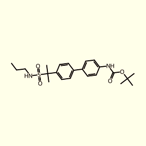 CCCNS(=O)(=O)C(C)(C)c1ccc(-c2ccc(NC(=O)OC(C)(C)C)cc2)cc1